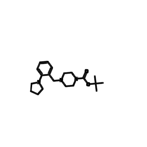 CC(C)(C)OC(=O)N1CCN(Cc2ccccc2N2CCCC2)CC1